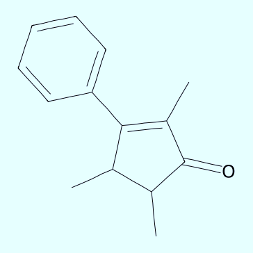 CC1=C(c2ccccc2)C(C)C(C)C1=O